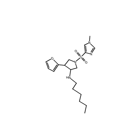 CCCCCCNC1CN(S(=O)(=O)c2cn(C)cn2)CC1c1ccco1